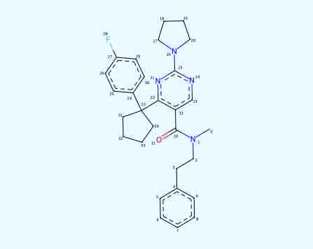 CN(CCc1ccccc1)C(=O)c1cnc(N2CCCC2)nc1C1(c2ccc(F)cc2)CCCC1